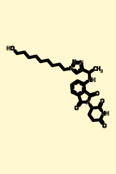 CC(Nc1cccc2c1C(=O)N(C1CCC(=O)NC1=O)C2=O)c1cn(CCCCCCCCCO)nn1